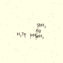 [Ag].[InH3].[SbH3].[SeH2].[TeH2]